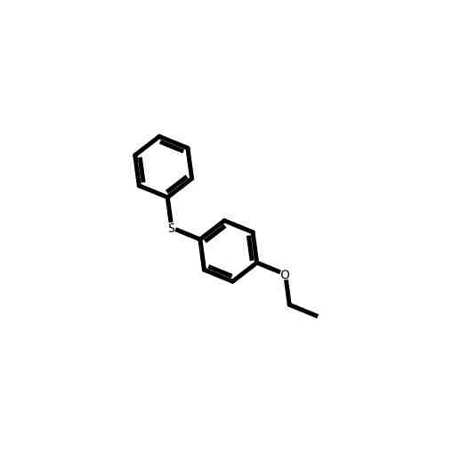 CCOc1ccc(Sc2ccccc2)cc1